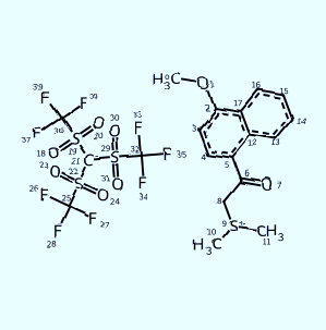 COc1ccc(C(=O)C[S+](C)C)c2ccccc12.O=S(=O)([C-](S(=O)(=O)C(F)(F)F)S(=O)(=O)C(F)(F)F)C(F)(F)F